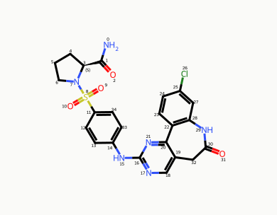 NC(=O)[C@@H]1CCCN1S(=O)(=O)c1ccc(Nc2ncc3c(n2)-c2ccc(Cl)cc2NC(=O)C3)cc1